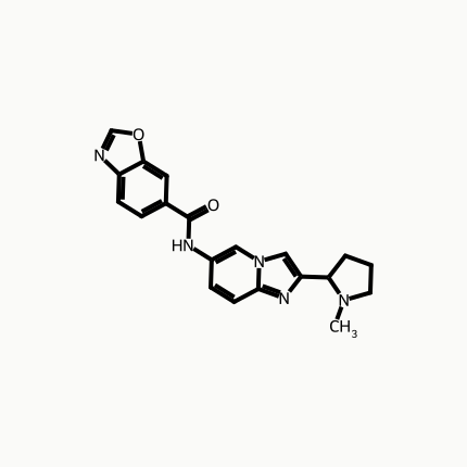 CN1CCCC1c1cn2cc(NC(=O)c3ccc4ncoc4c3)ccc2n1